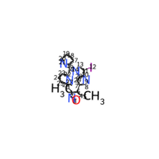 Cc1noc(C)c1-c1cnc2c(I)cn(C(c3ccccn3)c3ccccn3)c2c1